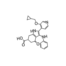 O=C1CC(C(=O)O)Cc2[nH]c(-c3ccncc3OCC3CC3)c(Nc3ccccc3)c21